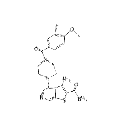 COc1ccc(C(=O)N2CCN(c3cncc4sc(C(N)=O)c(N)c34)CC2)cc1F